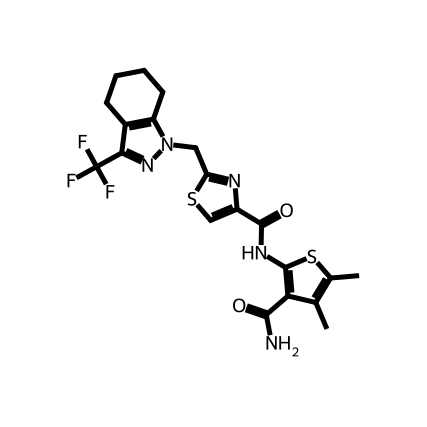 Cc1sc(NC(=O)c2csc(Cn3nc(C(F)(F)F)c4c3CCCC4)n2)c(C(N)=O)c1C